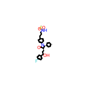 CS(=O)(=O)NCCCc1ccc(N2C(=O)[C@H](CC[C@H](O)c3ccc(F)cc3)[C@H]2c2cc[c]cc2)cc1